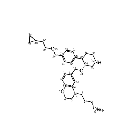 COCCCN1CCOc2ccc(CO[C@H]3CNCC[C@@H]3c3ccc(COCCC4CC4)cc3)cc21